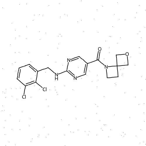 O=C(c1cnc(NCc2cccc(Cl)c2Cl)nc1)N1CCC12COC2